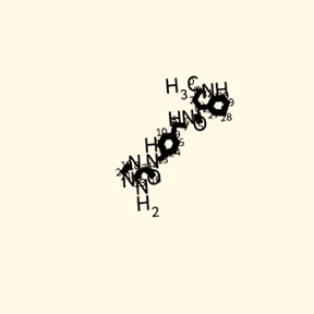 C[C@@H]1C[C@H](C(=O)NCCc2ccc(CNC(=O)c3nccnc3N)cc2)c2ccccc2N1